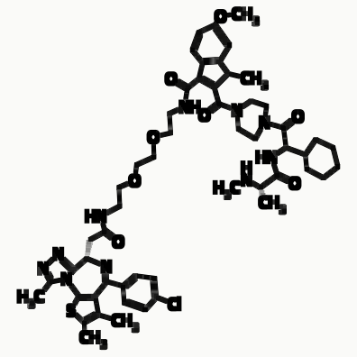 CN[C@@H](C)C(=O)NC(C(=O)N1CCN(C(=O)C2=C(C(=O)NCCOCCOCCNC(=O)C[C@@H]3N=C(c4ccc(Cl)cc4)c4c(sc(C)c4C)-n4c(C)nnc43)c3ccc(OC)cc3C2C)CC1)C1CCCCC1